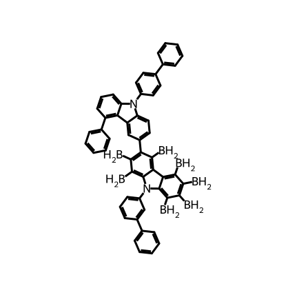 Bc1c(B)c(B)c2c(c1B)c1c(B)c(-c3ccc4c(c3)c3c(-c5ccccc5)cccc3n4-c3ccc(-c4ccccc4)cc3)c(B)c(B)c1n2-c1cccc(-c2ccccc2)c1